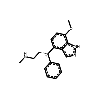 CNCC[C@@H](c1ccccc1)c1ccc(OC)c2[nH]ncc12